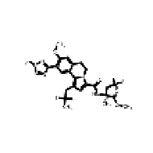 COC(=O)[C@](C)(CC(F)(F)F)NC(=O)c1cc(CC(C)(F)F)c2n1CCc1cc(OC)c(-c3nnn(C)n3)cc1-2